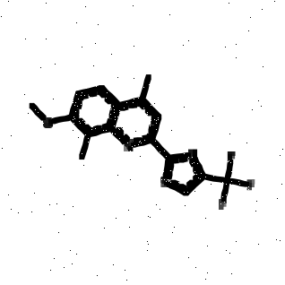 COc1ccc2c(C)cc(-c3nc(C(F)(F)F)cs3)nc2c1C